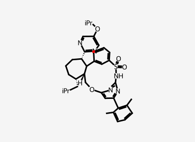 Cc1cccc(C)c1-c1cc2nc(n1)NS(=O)(=O)c1cccc(c1)C1[C@@H](c3ncc(OC(C)C)cn3)CCC[C@@H](CC(C)C)[C@H]1CO2